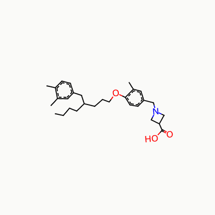 CCCCC(CCCOc1ccc(CN2CC(C(=O)O)C2)cc1C)Cc1ccc(C)c(C)c1